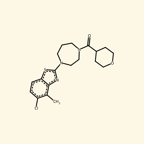 Cc1c(Cl)ccc2sc(N3CCCN(C(=O)C4CCOCC4)CC3)nc12